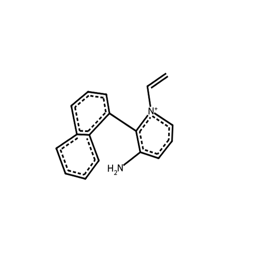 C=C[n+]1cccc(N)c1-c1cccc2ccccc12